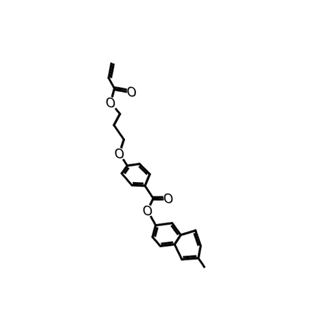 C=CC(=O)OCCCOc1ccc(C(=O)Oc2ccc3cc(C)ccc3c2)cc1